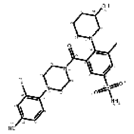 Cc1cc(S(N)(=O)=O)cc(C(=O)N2CCN(c3ccc(C#N)cc3F)CC2)c1N1CCCC(O)C1